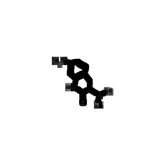 CCN(CC)C1Cc2ccc(N)cc2NC1=O